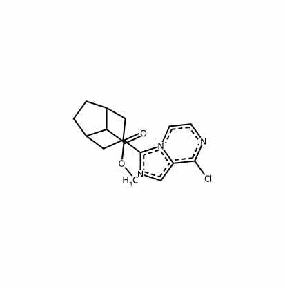 COC(=O)C1C2CCC1CC(c1ncc3c(Cl)nccn13)C2